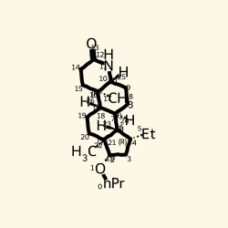 CCCO[C@H]1C[C@@H](CC)[C@H]2[C@@H]3CC[C@H]4NC(=O)CC[C@]4(C)[C@H]3CC[C@@]21C